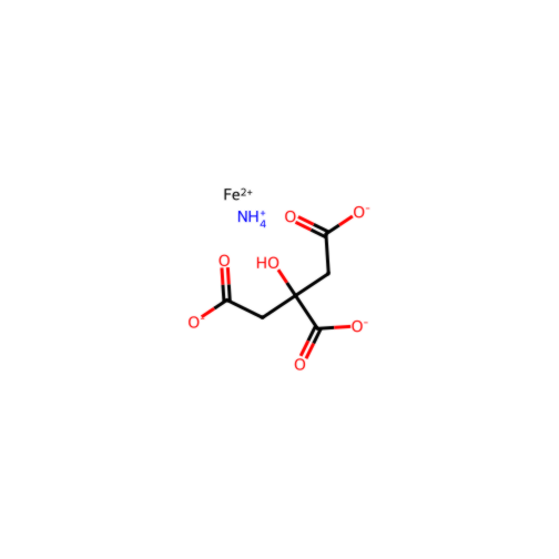 O=C([O-])CC(O)(CC(=O)[O-])C(=O)[O-].[Fe+2].[NH4+]